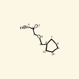 CCCCC(=O)COCC1CCCCC1